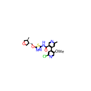 COc1cnc(Cl)cc1-c1cc(C)ncc1C(=O)Nc1nnc(OC[C@@H]2COC[C@H]2C)s1